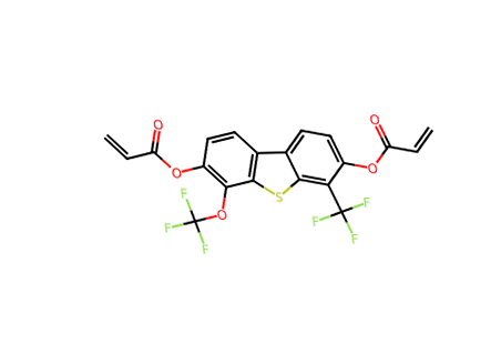 C=CC(=O)Oc1ccc2c(sc3c(C(F)(F)F)c(OC(=O)C=C)ccc32)c1OC(F)(F)F